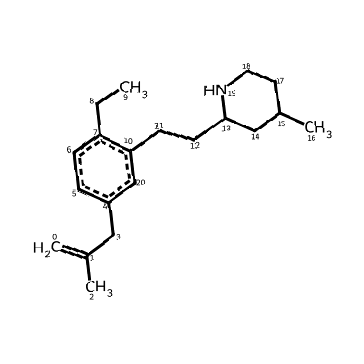 C=C(C)Cc1ccc(CC)c(CCC2CC(C)CCN2)c1